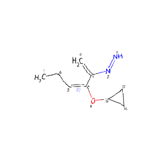 C=C(N=N)/C(=C\CC)OC1CC1